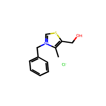 Cc1c(CO)sc[n+]1Cc1ccccc1.[Cl-]